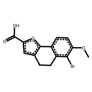 COc1ccc2c(c1Br)CCc1cc(C(=O)O)sc1-2